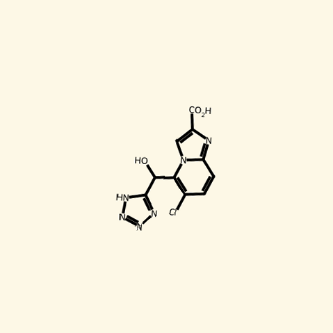 O=C(O)c1cn2c(C(O)c3nnn[nH]3)c(Cl)ccc2n1